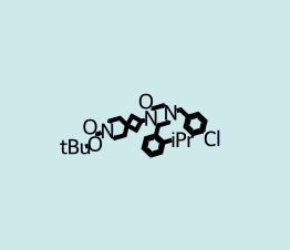 CC(C)c1ccccc1C1CN(Cc2ccc(Cl)cc2)CC(=O)N1C1CC2(CCN(C(=O)OC(C)(C)C)CC2)C1